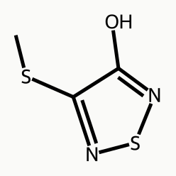 CSc1nsnc1O